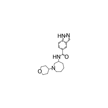 O=C(NC1CCCCN(C2CCOCC2)C1)c1ccc2[nH]ncc2c1